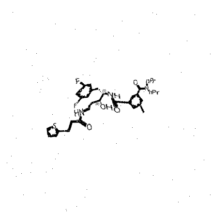 CCCN(CCC)C(=O)c1cc(C)cc(C(=O)N[C@@H](Cc2cc(F)cc(F)c2)[C@H](O)CCNC(=O)CCc2cccs2)c1